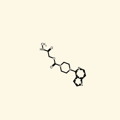 CNC(=O)COC(=O)N1CCN(c2nccc3sccc23)CC1